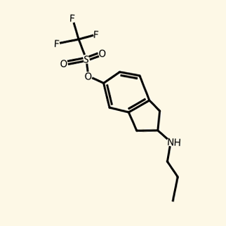 CCCNC1Cc2ccc(OS(=O)(=O)C(F)(F)F)cc2C1